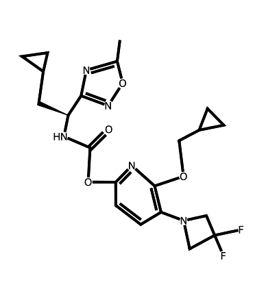 Cc1nc([C@H](CC2CC2)NC(=O)Oc2ccc(N3CC(F)(F)C3)c(OCC3CC3)n2)no1